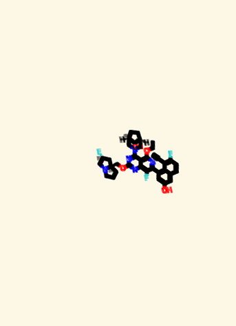 C#Cc1c(F)ccc2cc(O)cc(-c3nc(OCC)c4c(N5C[C@H]6CC[C@@H](C5)C6O)nc(OC[C@@]56CCCN5C[C@H](F)C6)nc4c3F)c12